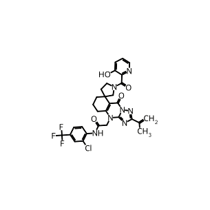 C=C(C)c1nc2n(CC(=O)Nc3ccc(C(F)(F)F)cc3Cl)c3c(c(=O)n2n1)C1(CCC3)CCN(C(=O)c2ncccc2O)C1